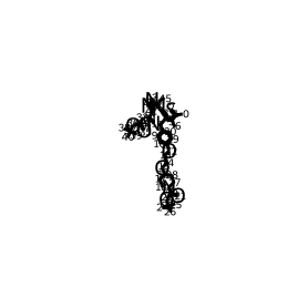 Cc1sc2c(c1C)C(c1ccc(OCCOC3CCN(C(=O)OC(C)(C)C)CC3)cc1)=N[C@@H](CC(=O)OC(C)(C)C)c1nnc(C)n1-2